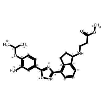 COC(=O)CCNC1CCc2c(-c3noc(-c4ccc(OC(C)C)c(N)c4)n3)cccc21